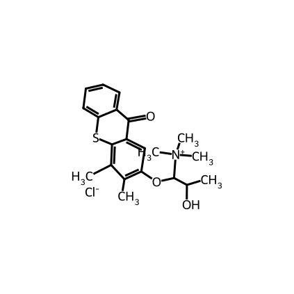 Cc1c(OC(C(C)O)[N+](C)(C)C)cc2c(=O)c3ccccc3sc2c1C.[Cl-]